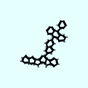 c1ccc(-c2c3ccccc3c(-c3ccc4cc(-c5cc6c7cc8ccccc8cc7sc6c6oc7ccccc7c56)ccc4c3)c3ccccc23)cc1